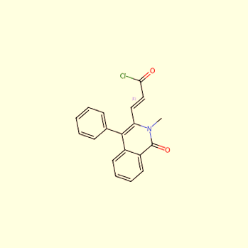 Cn1c(/C=C/C(=O)Cl)c(-c2ccccc2)c2ccccc2c1=O